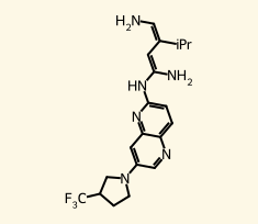 CC(C)C(=C/N)/C=C(\N)Nc1ccc2ncc(N3CCC(C(F)(F)F)C3)cc2n1